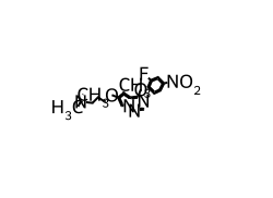 Cc1c(OCCCN(C)C)cn2ncnc(Oc3ccc([N+](=O)[O-])cc3F)c12